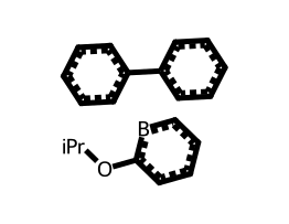 CC(C)Oc1bcccc1.c1ccc(-c2ccccc2)cc1